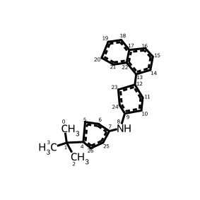 CC(C)(C)c1ccc(Nc2ccc(-c3cccc4ccccc34)cc2)cc1